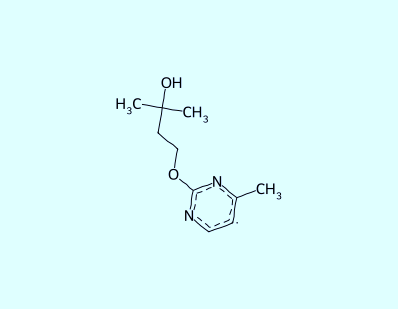 Cc1[c]cnc(OCCC(C)(C)O)n1